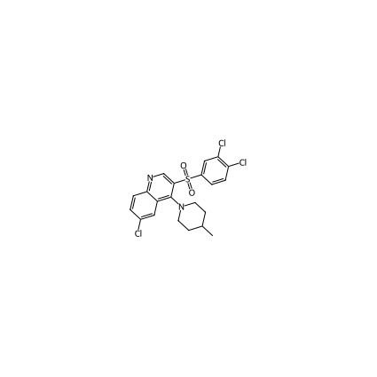 CC1CCN(c2c(S(=O)(=O)c3ccc(Cl)c(Cl)c3)cnc3ccc(Cl)cc23)CC1